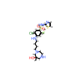 CC1(O)CNCCN(CCCCNc2cc(F)c(S(=O)(=O)Nc3nccs3)cc2Cl)C1